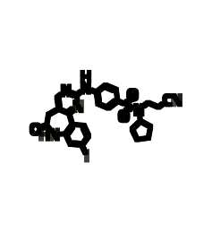 N#CCCN(C1CCCC1)S(=O)(=O)c1ccc(Nc2ncc3c(n2)-c2ccc(I)cc2NC(=O)C3)cc1